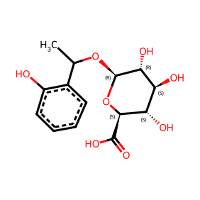 CC(O[C@@H]1O[C@H](C(=O)O)[C@@H](O)[C@H](O)[C@H]1O)c1ccccc1O